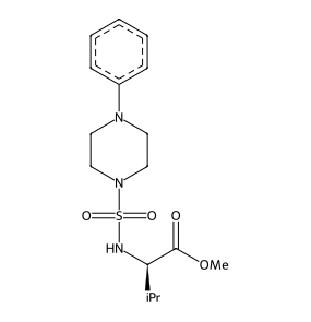 COC(=O)[C@H](NS(=O)(=O)N1CCN(c2ccccc2)CC1)C(C)C